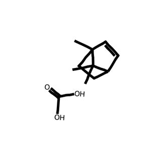 CC12C=CC(CC1)C2(C)C.O=C(O)O